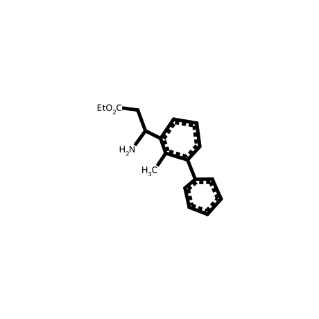 CCOC(=O)CC(N)c1cccc(-c2ccccc2)c1C